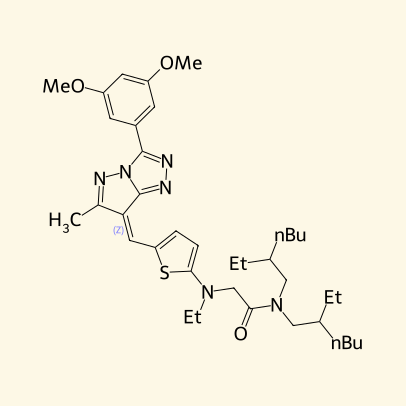 CCCCC(CC)CN(CC(CC)CCCC)C(=O)CN(CC)c1ccc(/C=c2/c(C)nn3c(-c4cc(OC)cc(OC)c4)nnc23)s1